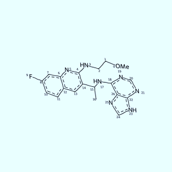 COCCNc1nc2cc(F)ccc2cc1C(C)Nc1ncnc2[nH]cnc12